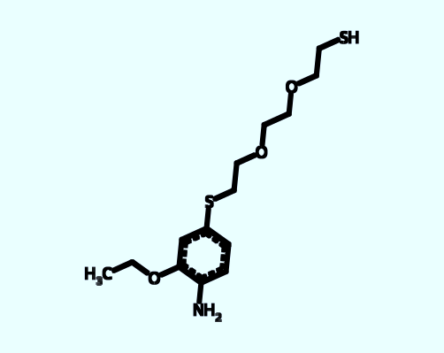 CCOc1cc(SCCOCCOCCS)ccc1N